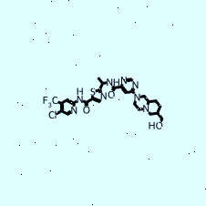 CC(NC(=O)c1cc(N2CCN3CC(CO)CCC3C2)ncn1)c1ncc(C(=O)Nc2cc(C(F)(F)F)c(Cl)cn2)s1